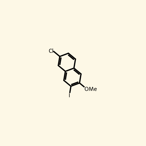 COc1cc2ccc(Cl)cc2cc1I